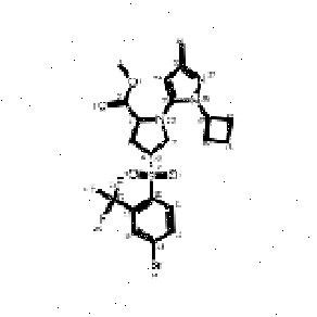 COC(=O)C1C[C@@H](S(=O)(=O)c2ccc(Br)cc2C(F)(F)F)CN1c1cc(C)nn1C1CCC1